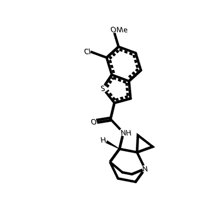 COc1ccc2cc(C(=O)N[C@H]3C4CCN(CC4)C34CC4)sc2c1Cl